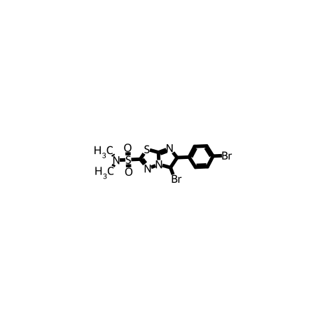 CN(C)S(=O)(=O)C1=NN2C(=NC(c3ccc(Br)cc3)C2Br)S1